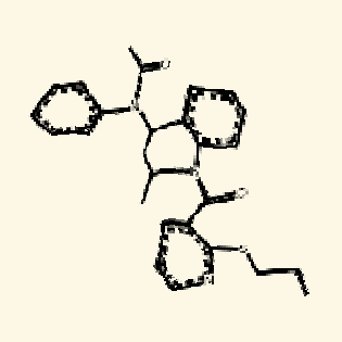 CCCSc1ncccc1C(=O)N1c2ccccc2C(N(C(C)=O)c2ccccc2)CC1C